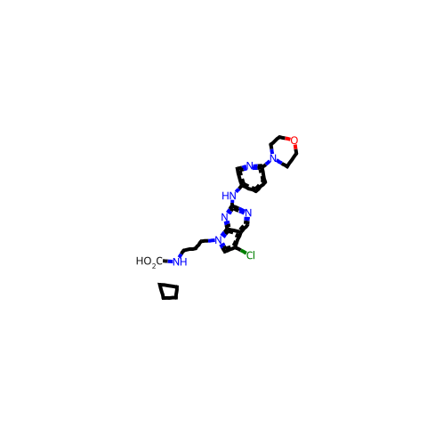 C1CCC1.O=C(O)NCCCn1cc(Cl)c2cnc(Nc3ccc(N4CCOCC4)nc3)nc21